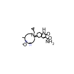 COC1=C/C(C)CCCN(CC2CC2)[C@@H]([C@H]2CCc3[nH]c(=O)c(C(N)=O)cc3C2)CC/C=C\1